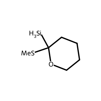 CSC1([SiH3])CCCCO1